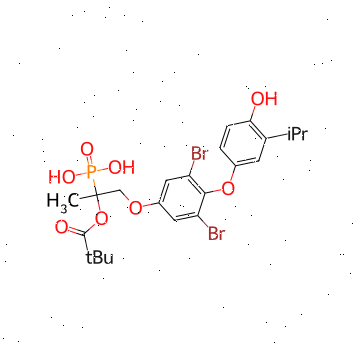 CC(C)c1cc(Oc2c(Br)cc(OCC(C)(OC(=O)C(C)(C)C)P(=O)(O)O)cc2Br)ccc1O